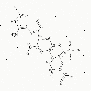 C=C/C(=C\C=C(/N)NC(=C)C)c1cc2c(cc1OC)C1=CC(=C)C(C(=C)C)=CN1C(C(C)(C)C)C2